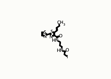 CC/C=C/c1sc(-c2nccs2)nc1C(=O)NCCCNC(=O)CI